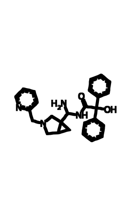 NC(NC(=O)C(O)(c1ccccc1)c1ccccc1)C12CC1CN(Cc1ccccn1)C2